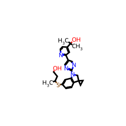 CC(CCO)Sc1ccc2c(c1)N(c1ncc(-c3cc(C(C)(C)O)ccn3)cn1)CC21CC1